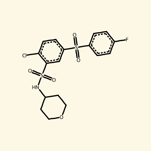 O=S(=O)(NC1CCOCC1)c1cc(S(=O)(=O)c2ccc(F)cc2)ccc1Cl